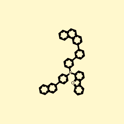 c1cc(-c2cccc(N(c3ccc(-c4ccc5ccccc5c4)cc3)c3cccc4c3oc3ccccc34)c2)cc(-c2ccc3ccc4ccccc4c3c2)c1